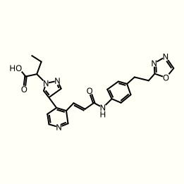 CCC(C(=O)O)n1cc(-c2ccncc2/C=C/C(=O)Nc2ccc(CCc3nnco3)cc2)cn1